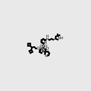 CC1(C)C[C@H](CCCNc2cccc(S(=O)(=O)NC(=O)C3(n4ccc(OCCC(C5CCC5)C5CCC5)n4)C=CC=NC3)n2)CN1